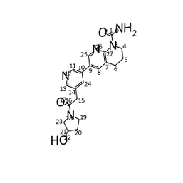 NC(=O)N1CCCc2cc(-c3cncc(CC(=O)N4CCC(O)C4)c3)cnc21